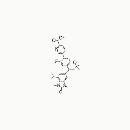 CC(C)c1cc(C2=CC(C)(C)Oc3cc(-c4ccc(C(=O)O)nc4)c(F)cc32)cc2c1n(C)c(=O)n2C